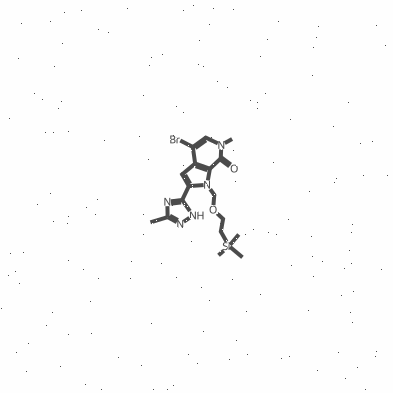 Cc1n[nH]c(-c2cc3c(Br)cn(C)c(=O)c3n2COCC[Si](C)(C)C)n1